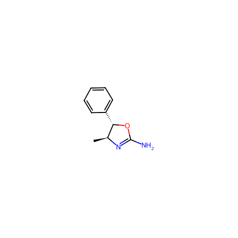 C[C@@H]1N=C(N)O[C@H]1c1ccccc1